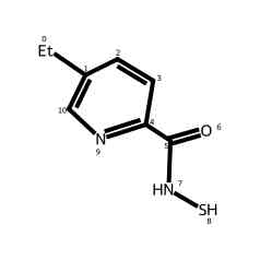 CCc1ccc(C(=O)NS)nc1